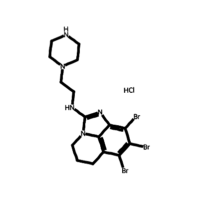 Brc1c(Br)c2c3c(nc(NCCN4CCNCC4)n3CCC2)c1Br.Cl